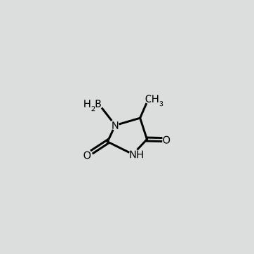 BN1C(=O)NC(=O)C1C